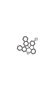 Clc1ccc2c(c1)-c1cccc3c1C2(c1ccc2ccccc2c1)c1cc2ccccc2cc1O3